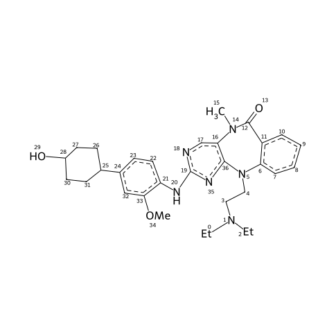 CCN(CC)CCN1c2ccccc2C(=O)N(C)c2cnc(Nc3ccc(C4CCC(O)CC4)cc3OC)nc21